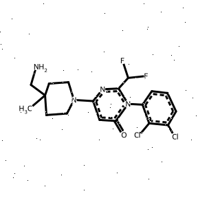 CC1(CN)CCN(c2cc(=O)n(-c3cccc(Cl)c3Cl)c(C(F)F)n2)CC1